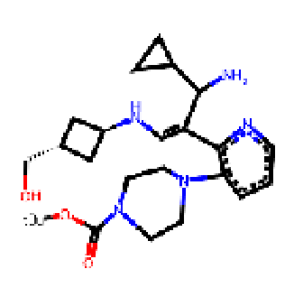 CC(C)(C)OC(=O)N1CCN(c2cccnc2/C(=C/N[C@H]2C[C@H](CO)C2)C(N)C2CC2)CC1